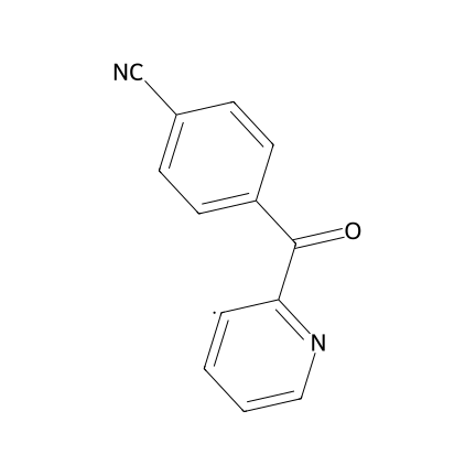 N#Cc1ccc(C(=O)c2[c]cccn2)cc1